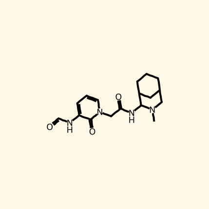 CN1CC2CCCC(C2)C1NC(=O)Cn1cccc(NC=O)c1=O